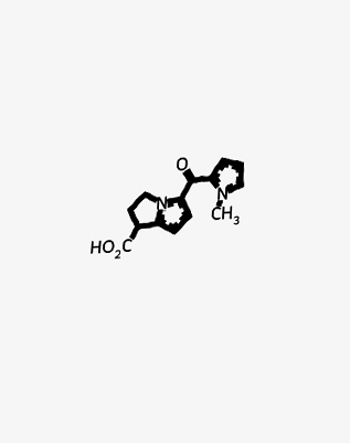 Cn1cccc1C(=O)c1ccc2n1CCC2C(=O)O